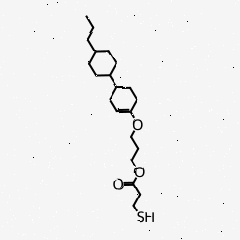 CCCC1CCC(C2CC=C(OCCCOC(=O)CCS)CC2)CC1